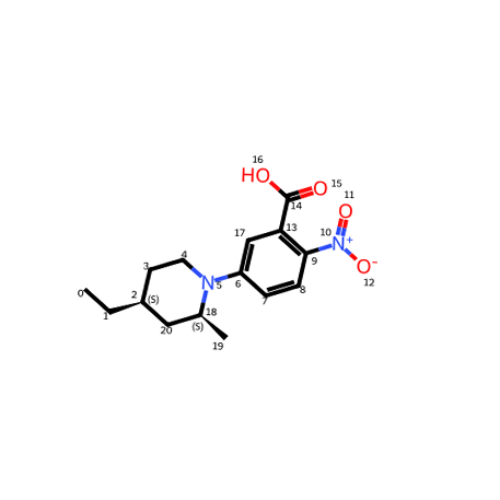 CC[C@H]1CCN(c2ccc([N+](=O)[O-])c(C(=O)O)c2)[C@@H](C)C1